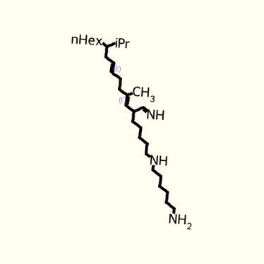 CCCCCCC(C/C=C/CC/C(C)=C/C(C=N)CCCCCNCCCCCCN)C(C)C